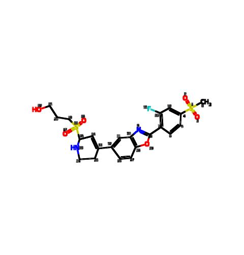 CS(=O)(=O)c1ccc(-c2nc3cc(C4=CC(S(=O)(=O)CCCO)NCC4)ccc3o2)c(F)c1